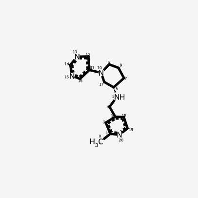 Cc1cc(CN[C@H]2CCCN(c3cncnc3)C2)ccn1